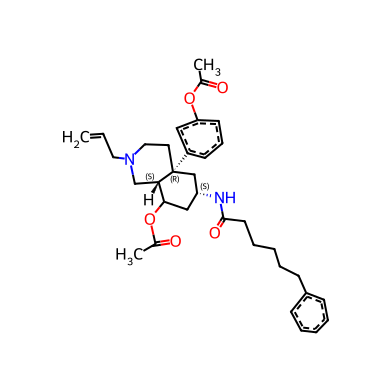 C=CCN1CC[C@@]2(c3cccc(OC(C)=O)c3)C[C@H](NC(=O)CCCCCc3ccccc3)CC(OC(C)=O)[C@@H]2C1